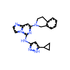 c1ccc2c(c1)CCN(c1cc3nccn3c(Nc3cc(C4CC4)[nH]n3)n1)C2